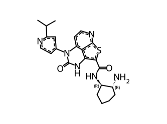 CC(C)c1cc(N2C(=O)Nc3c(C(=O)N[C@@H]4CCCC[C@H]4N)sc4nccc2c34)ccn1